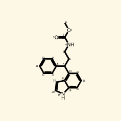 COC(=O)NCCC(c1ccccc1)c1cccc2[nH]ccc12